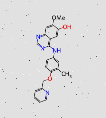 COc1cc2ncnc(Nc3ccc(OCc4ccccn4)c(C)c3)c2cc1O